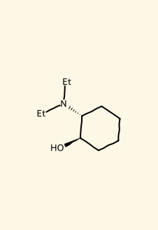 CCN(CC)[C@@H]1CCCC[C@H]1O